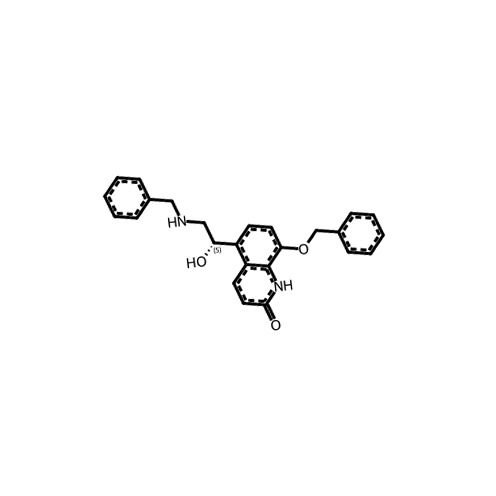 O=c1ccc2c([C@H](O)CNCc3ccccc3)ccc(OCc3ccccc3)c2[nH]1